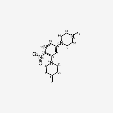 CC1CCN(c2cc(N3CCN(C)CC3)cnc2[N+](=O)[O-])CC1